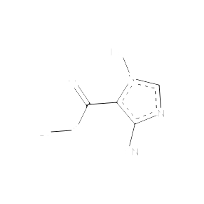 CCSC(=O)c1c(C#N)ncn1C